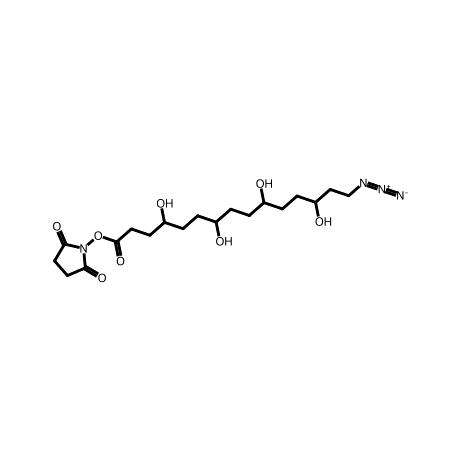 [N-]=[N+]=NCCC(O)CCC(O)CCC(O)CCC(O)CCC(=O)ON1C(=O)CCC1=O